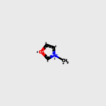 C[n+]1ccoc1